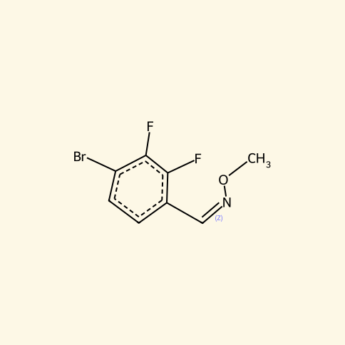 CO/N=C\c1ccc(Br)c(F)c1F